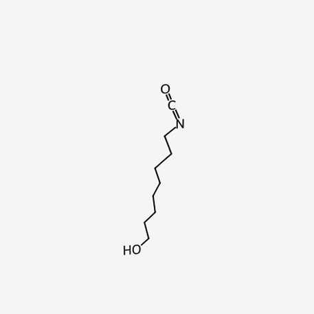 O=C=NCCCCCCCCO